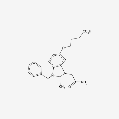 CC1C(CC(N)=O)c2cc(OCCCC(=O)O)ccc2N1Cc1ccccc1